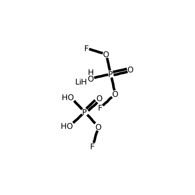 O=P(O)(O)OF.O=P(O)(OF)OF.[LiH]